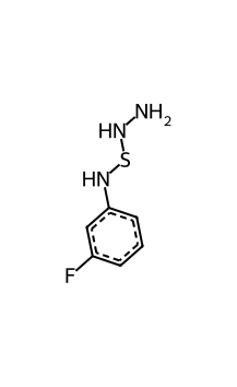 NNSNc1cccc(F)c1